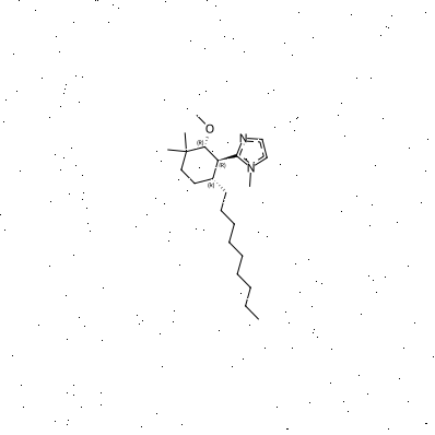 CCCCCCCCC[C@@H]1CCC(C)(C)[C@H](OC)[C@H]1c1nccn1C